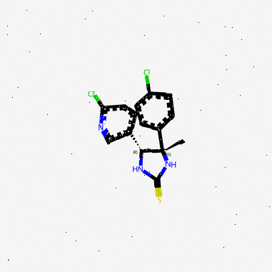 C[C@@]1(c2ccc(Cl)cc2)NC(=S)N[C@@H]1c1ccc(Cl)nc1